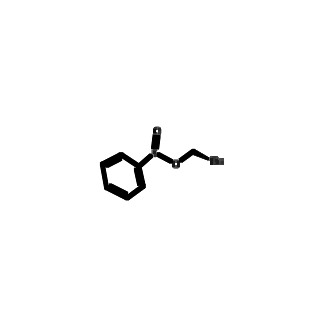 CC[C@H](C)COS(=O)c1ccccc1